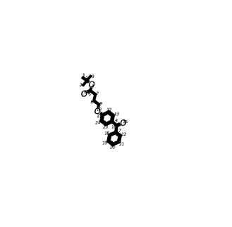 CC(C)(C)OC(=O)CCCOc1ccc(C(=O)c2ccccc2)cc1